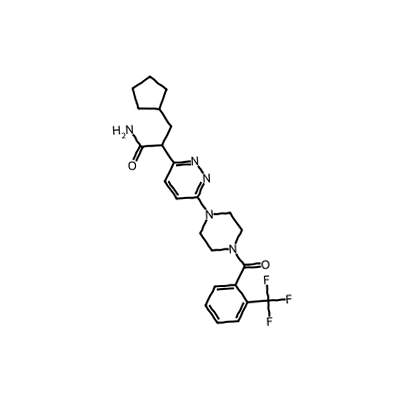 NC(=O)C(CC1CCCC1)c1ccc(N2CCN(C(=O)c3ccccc3C(F)(F)F)CC2)nn1